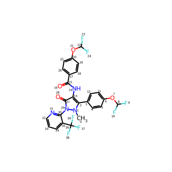 Cn1c(-c2ccc(OC(F)F)cc2)c(NC(=O)c2ccc(OC(F)F)cc2)c(=O)n1-c1ncccc1C(F)(F)F